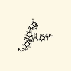 CCC(F)(F)c1ccc(CNC(=O)[C@H]2CN(C(=O)Nc3cc(C)no3)CCN2S(=O)(=O)c2ccc(OC(F)(F)F)cc2)cc1